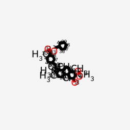 CO[C@]1(C)C(=O)C(=O)C=C2C1=CC=C1[C@@]2(C)CCC(C)(C)[C@]1(C)CC[C@]1(C)CC[C@](C)(C(=O)OCc2ccccc2)CC1